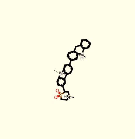 C[Si@H]1CCS(=O)(=O)C(c2ccc3c(c2)-c2ccc(-c4ccc5c(c4)[Si@H](C)c4ccccc4C5)cc2[Si@H]3C)C1